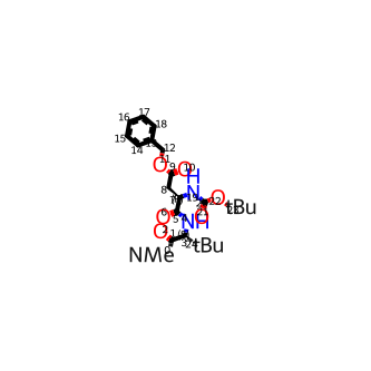 CNC(=O)[C@@H](NC(=O)[C@@H](CC(=O)OCc1ccccc1)NC(=O)OC(C)(C)C)C(C)(C)C